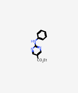 CCOC(=O)c1cnc(Nc2ccccc2)nc1